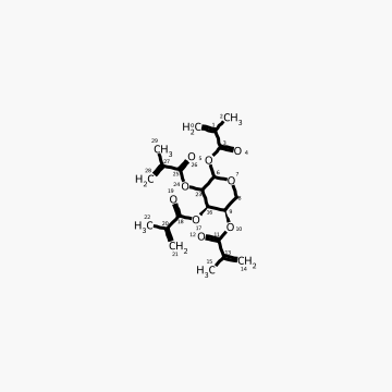 C=C(C)C(=O)OC1OC[C@@H](OC(=O)C(=C)C)[C@@H](OC(=O)C(=C)C)C1OC(=O)C(=C)C